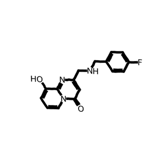 O=c1cc(CNCc2ccc(F)cc2)nc2c(O)cccn12